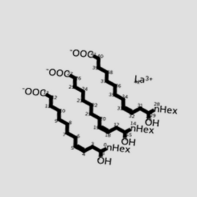 CCCCCCC(O)C/C=C\CCCCCCCC(=O)[O-].CCCCCCC(O)C/C=C\CCCCCCCC(=O)[O-].CCCCCCC(O)C/C=C\CCCCCCCC(=O)[O-].[La+3]